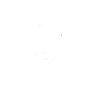 Cn1ccnc1-c1nc(O[C@@H]2C[C@H]3C(=O)N[C@]4(C(=O)O)C[C@H]4/C=C\CCCCCC(N)C(=O)N3C2)c2sccc2n1